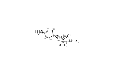 CN(C)CC(C)(C)COc1ccc(N)cc1